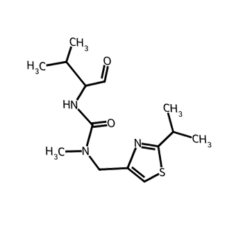 CC(C)c1nc(CN(C)C(=O)NC(C=O)C(C)C)cs1